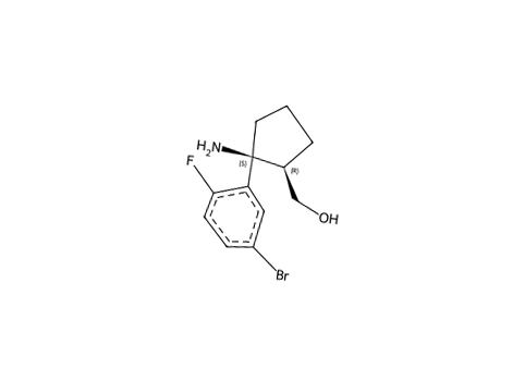 N[C@@]1(c2cc(Br)ccc2F)CCC[C@H]1CO